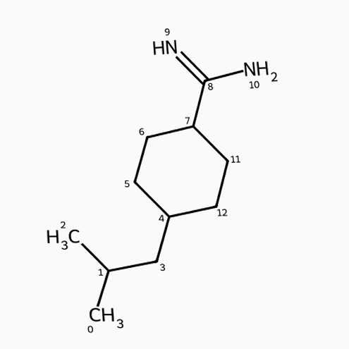 CC(C)CC1CCC(C(=N)N)CC1